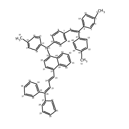 Cc1ccc(C(=Cc2ccc(N(c3ccc(C)cc3)c3ccc(/C=C/C=C(c4ccccc4)c4ccccc4)c4ccccc34)cc2)c2ccc(C)cc2)cc1